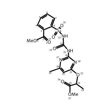 COC(=O)c1ccccc1S(=O)(=O)NC(=O)Nc1nc(C)cc(OC(C)C(=O)OC)n1